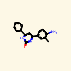 Cc1cc(-c2cc(-c3ccccc3)[nH]c(=O)n2)ccc1N